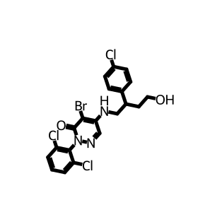 O=c1c(Br)c(NCC(CCO)c2ccc(Cl)cc2)cnn1-c1c(Cl)cccc1Cl